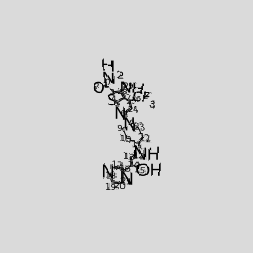 NC(=O)c1sc2nc(N3CCC(NCC(O)c4cnccn4)CC3)cc(C(F)(F)F)c2c1N